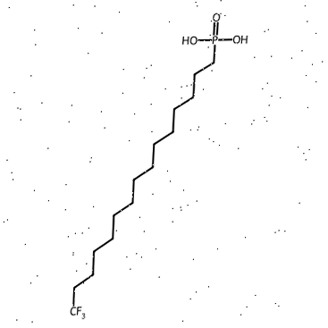 O=P(O)(O)CCCCCCCCCCCCCCC(F)(F)F